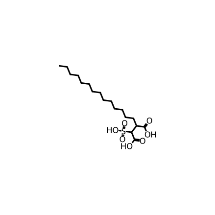 CCCCCCCCCCCCCCC(C(=O)O)C(C(=O)O)S(=O)(=O)O